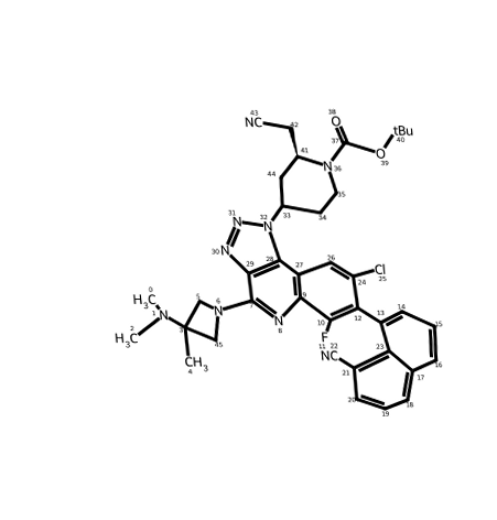 CN(C)C1(C)CN(c2nc3c(F)c(-c4cccc5cccc(C#N)c45)c(Cl)cc3c3c2nnn3C2CCN(C(=O)OC(C)(C)C)[C@H](CC#N)C2)C1